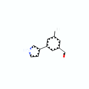 Cc1cc(C=O)cc(-c2cc[nH]c2)c1